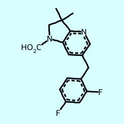 CC1(C)CN(C(=O)O)c2cc(Cc3ccc(F)cc3F)cnc21